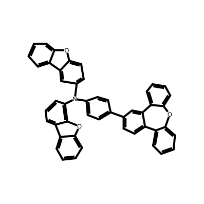 c1ccc2c(c1)Oc1ccccc1-c1cc(-c3ccc(N(c4ccc5oc6ccccc6c5c4)c4cccc5c4oc4ccccc45)cc3)ccc1-2